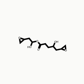 O=C(CCC(O)CC1CO1)OC(O)CC1CO1